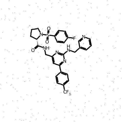 O=C(NCc1cc(-c2ccc(C(F)(F)F)cc2)nc(NCc2cccnc2)n1)[C@@H]1CCCN1S(=O)(=O)c1ccc(F)cc1